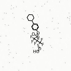 O=S(=O)(Oc1ccc(C2CCCCC2)cc1)C(F)(F)C(F)(F)C(F)(F)SOO